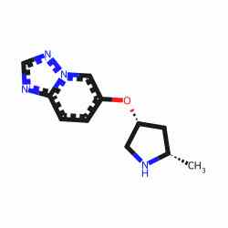 C[C@H]1C[C@@H](Oc2ccc3ncnn3c2)CN1